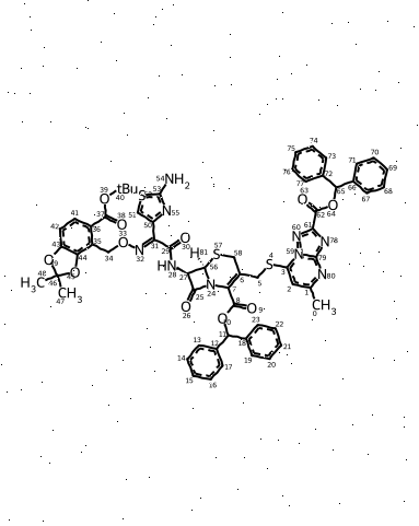 Cc1cc(SCC2=C(C(=O)OC(c3ccccc3)c3ccccc3)N3C(=O)[C@@H](NC(=O)C(=NOCc4c(C(=O)OC(C)(C)C)ccc5c4OC(C)(C)O5)c4csc(N)n4)[C@H]3SC2)n2nc(C(=O)OC(c3ccccc3)c3ccccc3)nc2n1